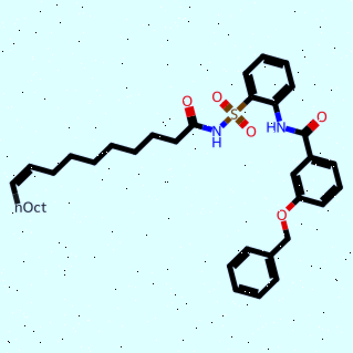 CCCCCCCC/C=C\CCCCCCCC(=O)NS(=O)(=O)c1ccccc1NC(=O)c1cccc(OCc2ccccc2)c1